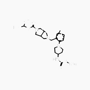 CC(C)(C)OC(=O)NC1CCN(c2ccc(Cl)cc2CN2CC3CN(C(=O)OC(C(F)(F)F)C(F)(F)F)CC3C2)CC1